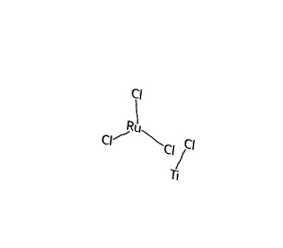 [Cl][Ru]([Cl])[Cl].[Cl][Ti]